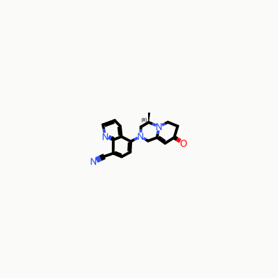 C[C@@H]1CN(c2ccc(C#N)c3ncccc23)CC2=CC(=O)CCN21